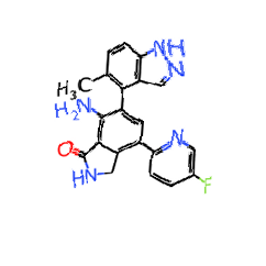 Cc1ccc2[nH]ncc2c1-c1cc(-c2ccc(F)cn2)c2c(c1N)C(=O)NC2